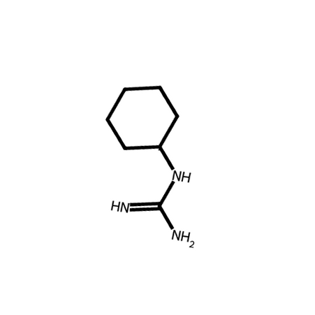 N=C(N)N[C]1CCCCC1